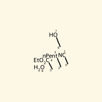 CC#N.CCCCCC.CCOC(C)=O.CO.O